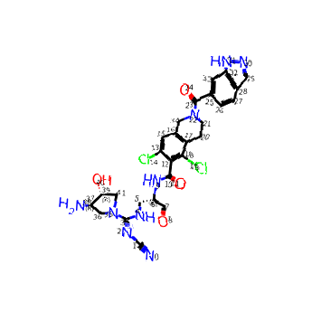 N#C/N=C(\NC[C@@H](C=O)NC(=O)c1c(Cl)cc2c(c1Cl)CCN(C(=O)c1ccc3cn[nH]c3c1)C2)N1C[C@@H](N)[C@H](O)C1